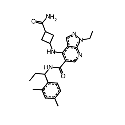 CCC(NC(=O)c1cnc2c(cnn2CC)c1NC1CC(C(N)=O)C1)c1ccc(C)cc1C